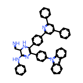 N=CC1NC(c2ccc(-c3cc(-c4ccccc4)cc(-c4ccccc4)n3)cc2)=C(c2ccc(-n3c4ccccc4c4ccccc43)cc2)N=C1Nc1ccccc1